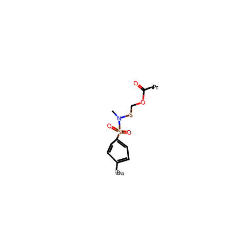 CCC(C)c1ccc(S(=O)(=O)N(C)SCOC(=O)C(C)C)cc1